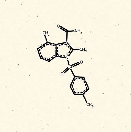 Cc1ccc(S(=O)(=O)n2c(C)c(C(N)=O)c3c(C)cccc32)cc1